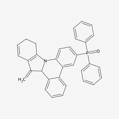 C=C1C2=C(CCC=C2)N2c3ccc(P(=O)(c4ccccc4)c4ccccc4)cc3-c3ccccc3C12